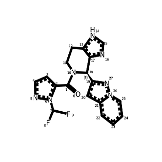 O=C(c1ccnn1C(F)F)N1CCc2[nH]cnc2[C@H]1c1cc2ccccn2n1